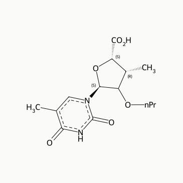 CCCOC1[C@@H](C)[C@@H](C(=O)O)O[C@@H]1n1cc(C)c(=O)[nH]c1=O